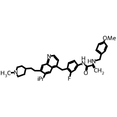 C=C(NCc1ccc(OC)cc1)C(=O)Nc1ccc(Cc2ccnc3cc(CCC4CCN(C)CC4)c(C(C)C)cc23)c(F)c1